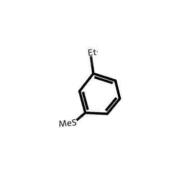 C[CH]c1cccc(SC)c1